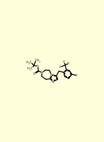 CC(C)(C)OC(=O)N1CCc2ncc(Cc3ccc(F)cc3C(F)(F)F)n2CC1